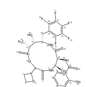 C[C@H]1NC(=O)C(C2CCO2)OC(=O)[C@H](C)[C@H](O)[C@H](Cc2c(F)c(F)c(F)c(F)c2F)NC(=O)[C@H]1NC(=O)c1ccccc1O